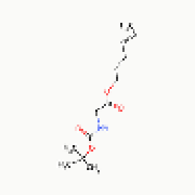 CC=CCCCOC(=O)CNC(=O)OC(C)(C)C